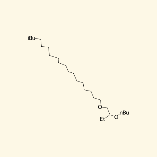 CCCCOC(CC)COCCCCCCCCCCCCCCCC(C)CC